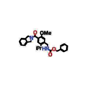 COc1cc(CNC(=O)OCc2ccccc2)c(C(C)C)cc1C(=O)N1Cc2ccccc2C1